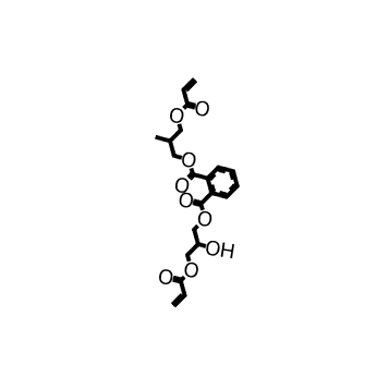 C=CC(=O)OCC(C)COC(=O)c1ccccc1C(=O)OCC(O)COC(=O)C=C